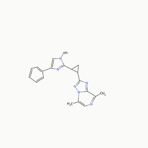 CCCn1cc(-c2ccccc2)nc1C1CC1c1nc2c(C)ncc(C)n2n1